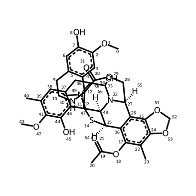 COc1cc2c(cc1O)CCNC21CS[C@@H]2c3c(OC(C)=O)c(C)c4c(c3[C@H](COC1=O)N1C(O)C3Cc5cc(C)c(OC)c(O)c5C([C@H]21)N3C)OCO4